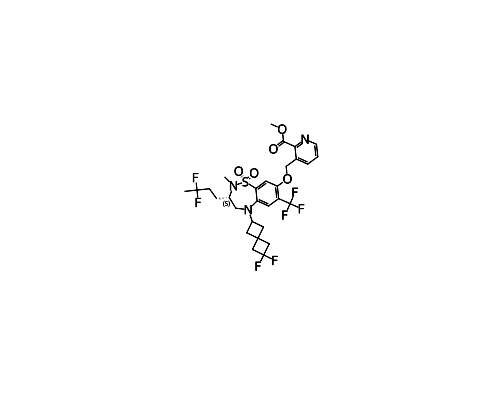 COC(=O)c1ncccc1COc1cc2c(cc1C(F)(F)F)N(C1CC3(C1)CC(F)(F)C3)C[C@H](CCC(C)(F)F)N(C)S2(=O)=O